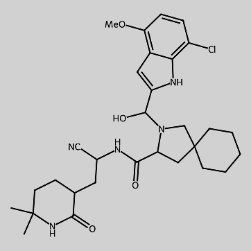 COc1ccc(Cl)c2[nH]c(C(O)N3CC4(CCCCC4)CC3C(=O)NC(C#N)CC3CCC(C)(C)NC3=O)cc12